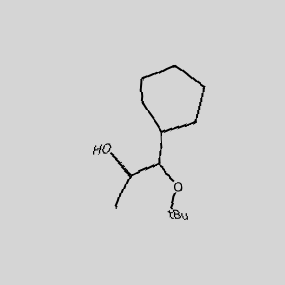 CC(O)C(OC(C)(C)C)C1CCCCC1